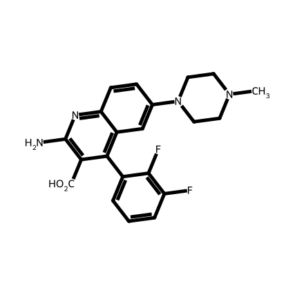 CN1CCN(c2ccc3nc(N)c(C(=O)O)c(-c4cccc(F)c4F)c3c2)CC1